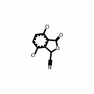 N#CC1OC(=O)c2c(Cl)ccc(Cl)c21